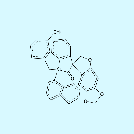 [CH]c1cccc(C[N+]2(c3cccc4ccccc34)C(=O)C3(COc4cc5c(cc43)OCO5)c3ccccc32)c1